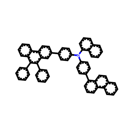 c1ccc(-c2c(-c3ccccc3)c3cc(-c4ccc(N(c5ccc(-c6cccc7c6ccc6ccccc67)cc5)c5cccc6ccccc56)cc4)ccc3c3ccccc23)cc1